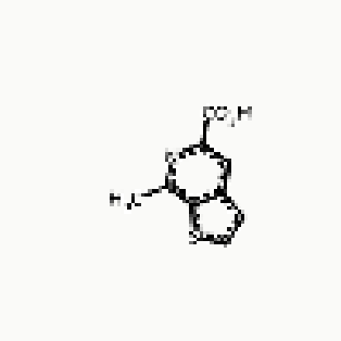 Cc1nc(C(=O)O)cc2ccsc12